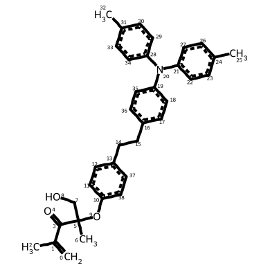 C=C(C)C(=O)C(C)(CO)Oc1ccc(CCc2ccc(N(c3ccc(C)cc3)c3ccc(C)cc3)cc2)cc1